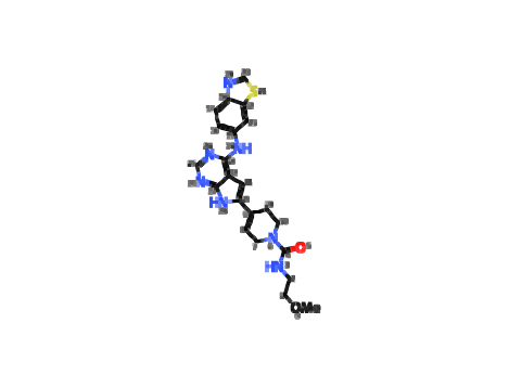 COCCNC(=O)N1CC=C(c2cc3c(Nc4ccc5ncsc5c4)ncnc3[nH]2)CC1